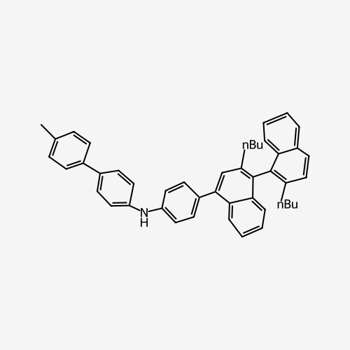 CCCCc1ccc2ccccc2c1-c1c(CCCC)cc(-c2ccc(Nc3ccc(-c4ccc(C)cc4)cc3)cc2)c2ccccc12